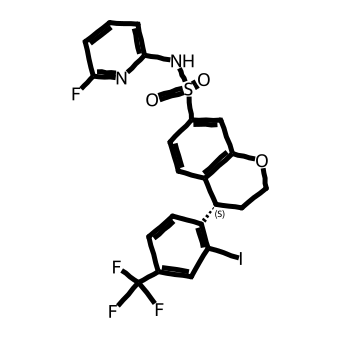 O=S(=O)(Nc1cccc(F)n1)c1ccc2c(c1)OCC[C@@H]2c1ccc(C(F)(F)F)cc1I